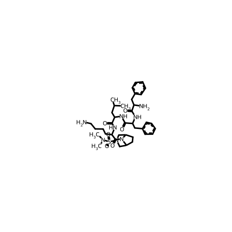 CC(C)CC(NC(=O)C(Cc1ccccc1)NC(=O)C(N)Cc1ccccc1)C(=O)NC(CCCCN)C(=O)N1C2CCC1CN(S(=O)(=O)N(C)C)C2